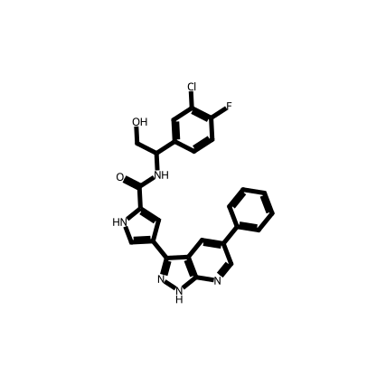 O=C(NC(CO)c1ccc(F)c(Cl)c1)c1cc(-c2n[nH]c3ncc(-c4ccccc4)cc23)c[nH]1